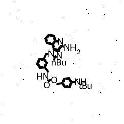 CCCCc1nc2c(N)nc3ccccc3c2n1Cc1cccc(CNC(=O)OCc2ccc(NC(C)(C)C)cc2)c1